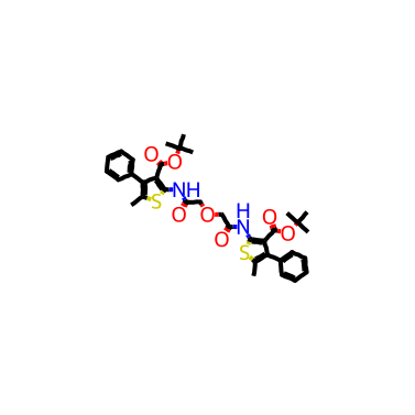 Cc1sc(NC(=O)COCC(=O)Nc2sc(C)c(-c3ccccc3)c2C(=O)OC(C)(C)C)c(C(=O)OC(C)(C)C)c1-c1ccccc1